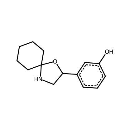 Oc1cccc(C2CNC3(CCCCC3)O2)c1